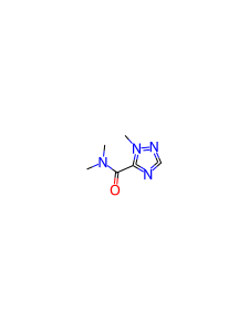 CN(C)C(=O)c1ncnn1C